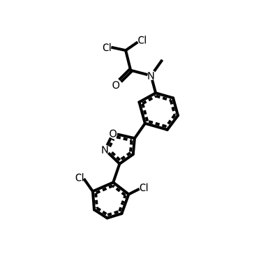 CN(C(=O)C(Cl)Cl)c1cccc(-c2cc(-c3c(Cl)cccc3Cl)no2)c1